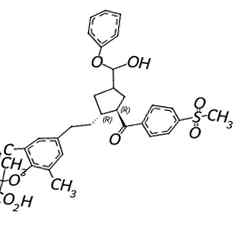 Cc1cc(CC[C@@H]2CC(C(O)Oc3ccccc3)C[C@H]2C(=O)c2ccc(S(C)(=O)=O)cc2)cc(C)c1OC(C)(C)C(=O)O